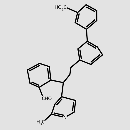 Cc1cc(C(CCc2cccc(-c3cccc(C(=O)O)c3)c2)c2ccccc2C=O)ccn1